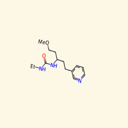 [CH2]CNC(=O)NC(CCOC)CCc1cccnc1